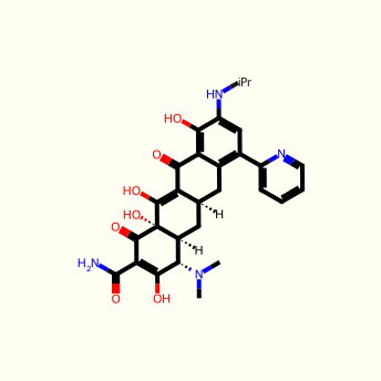 CC(C)Nc1cc(-c2ccccn2)c2c(c1O)C(=O)C1=C(O)[C@]3(O)C(=O)C(C(N)=O)=C(O)[C@@H](N(C)C)[C@@H]3C[C@@H]1C2